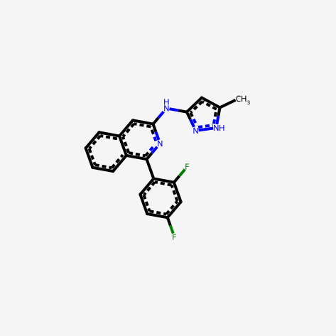 Cc1cc(Nc2cc3ccccc3c(-c3ccc(F)cc3F)n2)n[nH]1